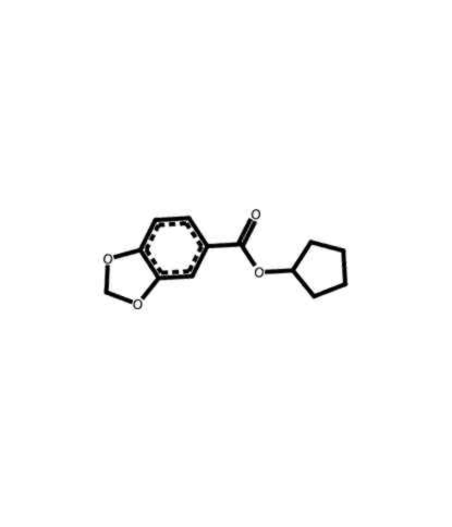 O=C(OC1CCCC1)c1ccc2c(c1)OCO2